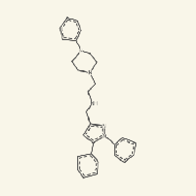 c1ccc(-c2cc(CNCCN3CCN(c4ccccc4)CC3)nn2-c2ccccc2)cc1